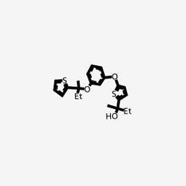 CCC(C)(O)c1ccc(Oc2cccc(OC(C)(CC)c3cccs3)c2)s1